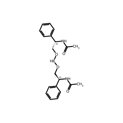 CC(=O)N[C@H](COBOC[C@@H](NC(C)=O)c1ccccc1)c1ccccc1